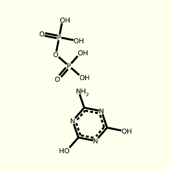 Nc1nc(O)nc(O)n1.O=P(O)(O)OP(=O)(O)O